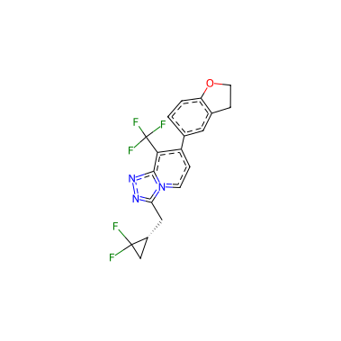 FC(F)(F)c1c(-c2ccc3c(c2)CCO3)ccn2c(C[C@@H]3CC3(F)F)nnc12